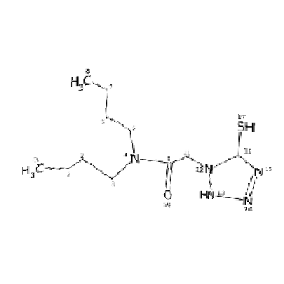 CCCCN(CCCC)C(=O)CN1NN=NC1S